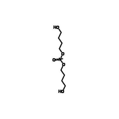 O=[N+](OCCCCO)OCCCCO